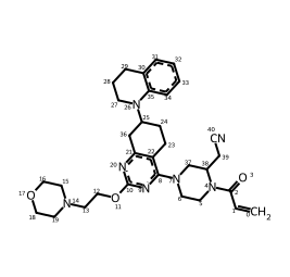 C=CC(=O)N1CCN(c2nc(OCCN3CCOCC3)nc3c2CCC(N2CCCc4ccccc42)C3)CC1CC#N